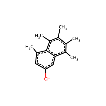 Cc1c(C)c(C)c2c(C)cc(O)cc2c1C